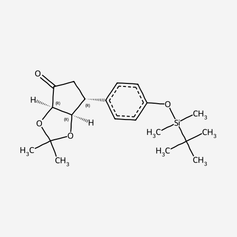 CC1(C)O[C@@H]2[C@@H](c3ccc(O[Si](C)(C)C(C)(C)C)cc3)CC(=O)[C@@H]2O1